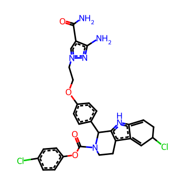 NC(=O)c1cn(CCOc2ccc(C3c4[nH]c5c(c4CCN3C(=O)Oc3ccc(Cl)cc3)=CC(Cl)CC=5)cc2)nc1N